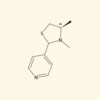 C[C@@H]1CSC(c2ccncc2)N1C